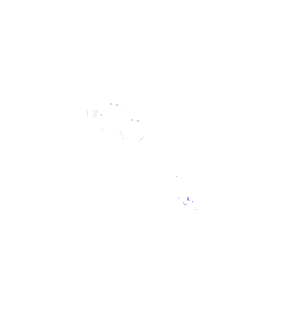 N[C@H](C1CC1)C1(CC2CC2)CCC(Oc2cc3cc[nH]c(=O)c3cc2Cl)CC1